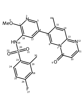 COc1ncc(-c2cn3c(=O)ccnc3cc2C)cc1NS(=O)(=O)c1ccc(F)cc1C